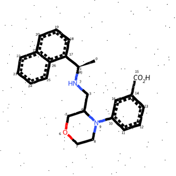 C[C@@H](NCC1COCCN1c1cccc(C(=O)O)c1)c1cccc2ccccc12